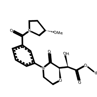 CO[C@H]1CCN(C(=O)c2cccc(N3CCO[C@H]([C@@H](O)C(=O)OC(C)(C)C)C3=O)c2)C1